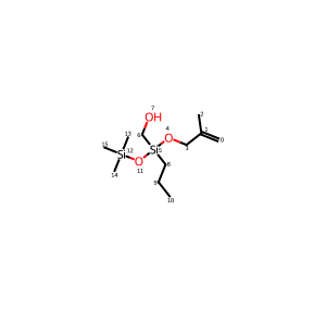 C=C(C)CO[Si](CO)(CCC)O[Si](C)(C)C